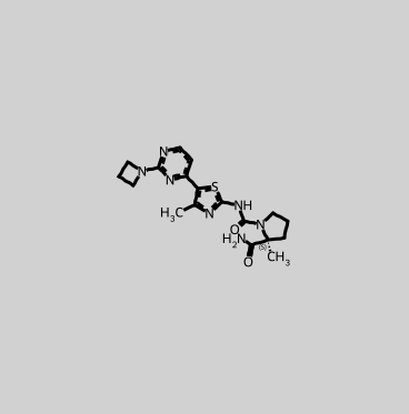 Cc1nc(NC(=O)N2CCC[C@@]2(C)C(N)=O)sc1-c1ccnc(N2CCC2)n1